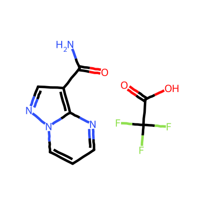 NC(=O)c1cnn2cccnc12.O=C(O)C(F)(F)F